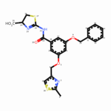 Cc1nc(COc2cc(OCc3ccccc3)cc(C(=O)NC3=NC(C(=O)O)CS3)c2)cs1